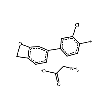 Fc1ccc(-c2ccc3c(c2)OC3)cc1Cl.NCC([O])=O